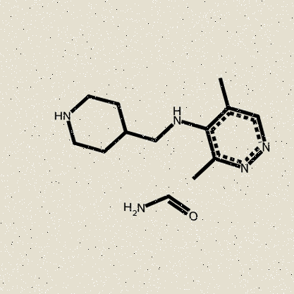 Cc1cnnc(C)c1NCC1CCNCC1.NC=O